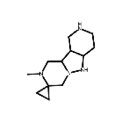 CN1CC2C3CNCCC3NN2CC12CC2